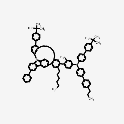 CCCCCCc1cc2c(cc1-c1ccc(N(c3ccc(-c4ccc(CCC)cc4)cc3)c3ccc(-c4ccc(C(C)(C)C)cc4)cc3)cc1C)CCCCCc1cc(ccc1-c1ccc(C(C)(C)C)cc1)-n1c3ccc(-c4ccccc4)cc3c3cc-2ccc31